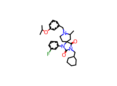 CC(C)Oc1cccc(CN2CCC3(CC2C)C(=O)N(CC2CCCCC2)C(=O)N3c2cccc(F)c2)c1